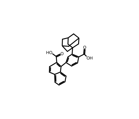 O=C(O)c1ccc(-c2c(C(=O)O)ccc3ccccc23)cc1C12CC3CC(CC(C3)C1)C2